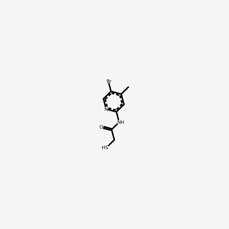 Cc1cc(NC(=O)CS)ncc1Br